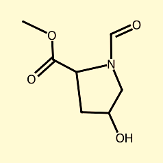 COC(=O)C1CC(O)CN1C=O